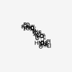 O=C(c1cc(Cc2c[nH]c(=O)c3cc(Cl)c(Cl)n23)ccc1F)N1CCN(c2ccc[n+](OC(=O)C(F)(F)F)c2)CC1